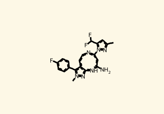 Cc1cc(C(F)F)n(-c2cc(N)[nH]c3nn(C)c(-c4ccc(F)cc4)c3ccn2)n1